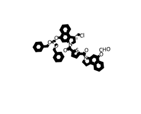 O=COc1cc2c(c3ccccc13)CCN2C(=O)c1ccc(C(=O)N2C[C@@H](CCl)c3c2cc(OP(OCc2ccccc2)OCc2ccccc2)c2ccccc32)s1